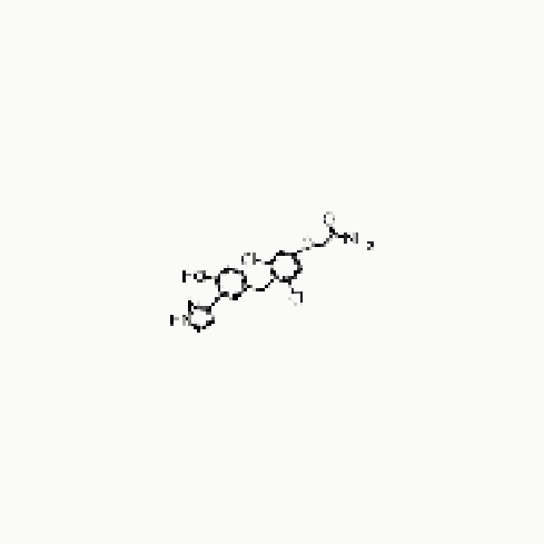 NC(=O)COc1cc(Cl)c(Cc2ccc(O)c(-c3cc[nH]n3)c2)c(Cl)c1